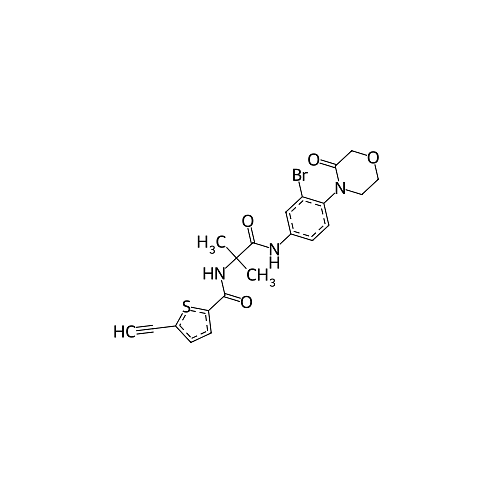 C#Cc1ccc(C(=O)NC(C)(C)C(=O)Nc2ccc(N3CCOCC3=O)c(Br)c2)s1